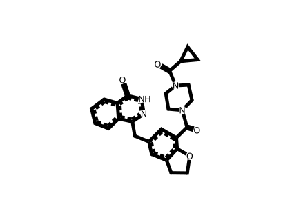 O=C(c1cc(Cc2n[nH]c(=O)c3ccccc23)cc2c1OCC2)N1CCN(C(=O)C2CC2)CC1